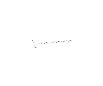 C=CC[N+](CC=C)(CCCCCCCCCCCCCCCCCCC)CC(=O)O.[Cl-]